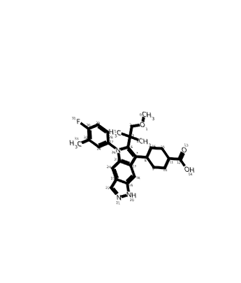 COCC(C)(C)c1c(C2CCC(C(=O)O)CC2)c2cc3[nH]ncc3cc2n1-c1ccc(F)c(C)c1